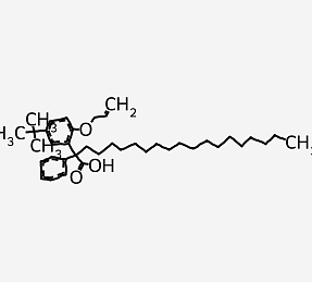 C=CCOc1ccc(C(C)(C)C)cc1C(CCCCCCCCCCCCCCCCCC)(C(=O)O)c1ccccc1